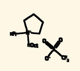 CCCCCCCC[N+]1(CCC)CCCC1.O=S(=O)([O-])C(F)(F)F